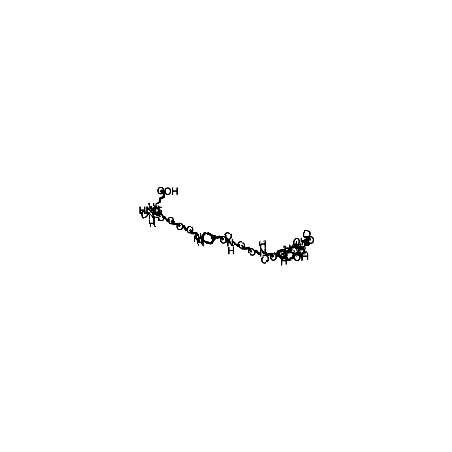 C[C@]12CC[C@H](OCC(=O)NCCOCCOCCNC(=O)OCC3C4CCc5nnn(CCOCCOCCOCCO[C@H]6S[C@@H](CCCCC(=O)O)[C@H]7NC(=O)N[C@H]76)c5CCC43)C[C@H]1CCC1[C@H]2C[C@@H](O)[C@]2(C)[C@@H](C3=CC(=O)OC3)CC[C@]12O